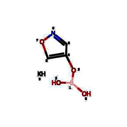 OB(O)Oc1cnoc1.[KH]